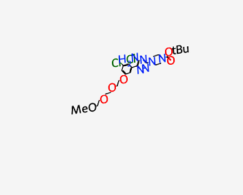 COCCOCCOCCOc1cc(Cl)c(Cl)c(-c2nnc(N3CCN(C(=O)OC(C)(C)C)CC3)nc2N)c1